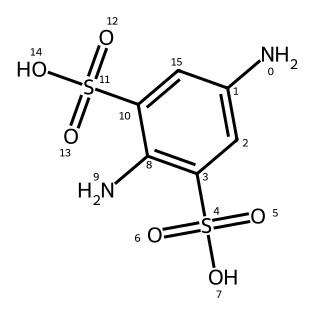 Nc1cc(S(=O)(=O)O)c(N)c(S(=O)(=O)O)c1